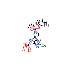 CC(C)(C)OC(=O)N1CCN(c2nc(Cl)nc3c2CCN(C(=O)O)C3)C(C#N)C1